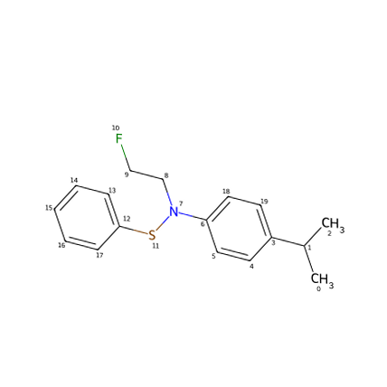 CC(C)c1ccc(N(CCF)Sc2ccccc2)cc1